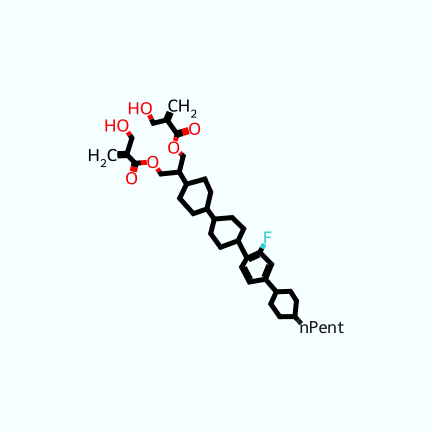 C=C(CO)C(=O)OCC(COC(=O)C(=C)CO)C1CCC(C2CCC(c3ccc(C4CCC(CCCCC)CC4)cc3F)CC2)CC1